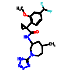 COc1cc(C(F)F)ccc1C1(C(=O)NC2CC(C)CCN(c3nnn[nH]3)C2)CC1